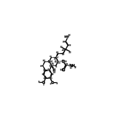 COc1cc2c(cc1OC)[C@H]1C[C@@H](OC(N)=O)[C@H](CCC(C)(C)CC[18F])CN1CC2